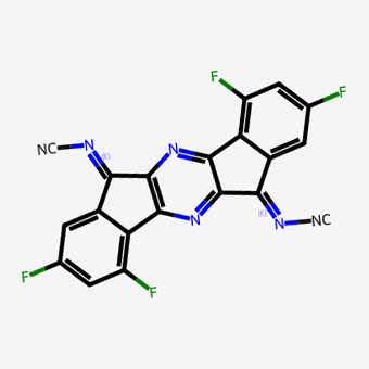 [C-]#[N+]/N=c1\c2cc(F)cc(F)c2c2nc3/c(=N/C#N)c4cc(F)cc(F)c4c3nc12